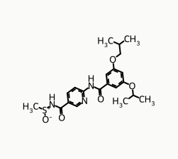 CC(C)COc1cc(OC(C)C)cc(C(=O)Nc2ccc(C(=O)N[S+](C)[O-])cn2)c1